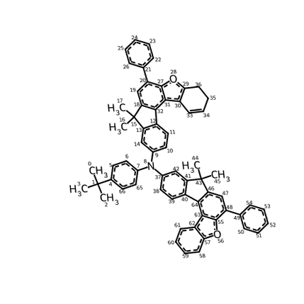 CC(C)(C)c1ccc(N(c2ccc3c(c2)C(C)(C)c2cc(-c4ccccc4)c4oc5c(c4c2-3)C=CCC5)c2ccc3c(c2)C(C)(C)c2cc(-c4ccccc4)c4oc5ccccc5c4c2-3)cc1